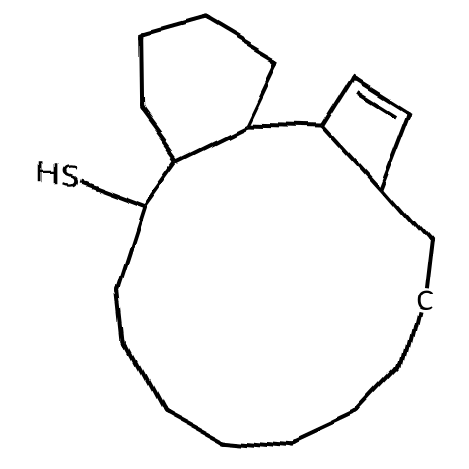 SC1CCCCCCCCCC2C=CC2C2CCCCC12